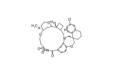 C[C@@H]1CO[C@@H]2C[C@H]1OCCS(=O)(=O)NC(=O)c1ccc3c(c1)N(C[C@@H]1CC[C@H]12)C[C@@]1(CCCc2cc(Cl)ccc21)CO3